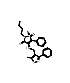 CCCCN1C(=O)C(NCc2c(-c3ccccc3)noc2C)=C(c2ccccc2)S1(=O)=O